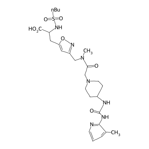 CCCCS(=O)(=O)NC(Cc1cc(CN(C)C(=O)CN2CCC(NC(=O)Nc3ncccc3C)CC2)no1)C(=O)O